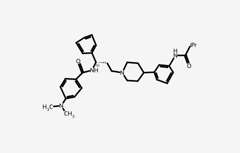 CC(C)C(=O)Nc1cccc(C2CCN(CC[C@H](NC(=O)c3ccc(N(C)C)cc3)c3ccccc3)CC2)c1